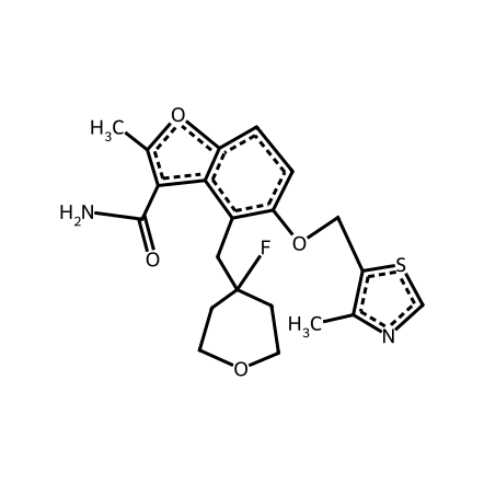 Cc1ncsc1COc1ccc2oc(C)c(C(N)=O)c2c1CC1(F)CCOCC1